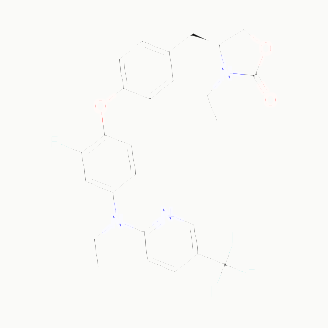 CCN(c1ccc(Oc2ccc(C[C@H]3COC(=O)N3CC)cc2)c(F)c1)c1ccc(C(F)(F)F)cn1